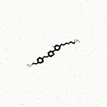 CCCCCCCc1ccc(-c2ccc(CCc3ccc(CCC)cc3)cc2)c(F)c1